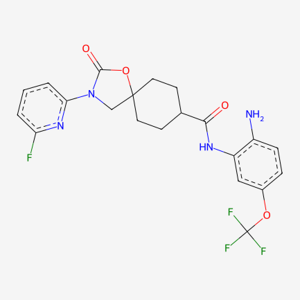 Nc1ccc(OC(F)(F)F)cc1NC(=O)C1CCC2(CC1)CN(c1cccc(F)n1)C(=O)O2